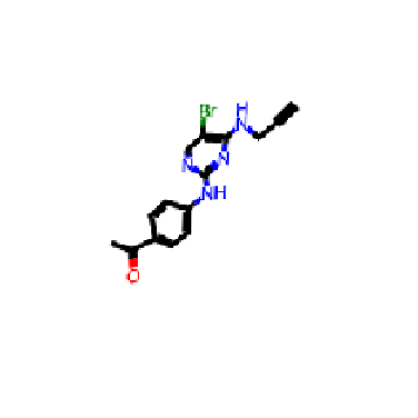 C#CCNc1nc(Nc2ccc(C(C)=O)cc2)ncc1Br